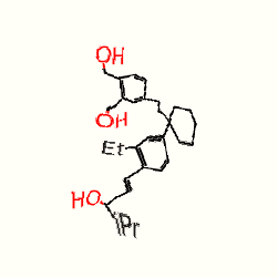 CCc1cc(C2(CCc3ccc(CO)c(CO)c3)CCCCC2)ccc1C=CC(O)C(C)C